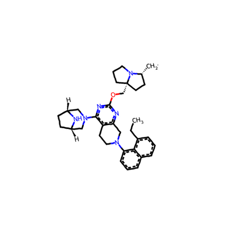 [CH2][C@@H]1CC[C@@]2(COc3nc4c(c(N5C[C@H]6CC[C@@H](C5)N6)n3)CCN(c3cccc5cccc(CC)c35)C4)CCCN12